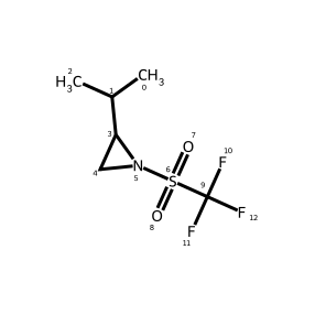 CC(C)C1CN1S(=O)(=O)C(F)(F)F